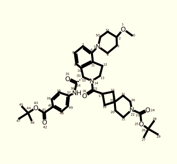 COC1CCN(c2cccc3c2CCN(C(=O)C2CC4(CCN(C(=O)OC(C)(C)C)CC4)C2)[C@@H]3C(=O)Nc2ccc(C(=O)OC(C)(C)C)cc2)CC1